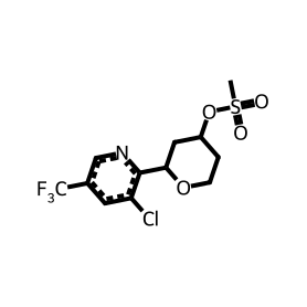 CS(=O)(=O)OC1CCOC(c2ncc(C(F)(F)F)cc2Cl)C1